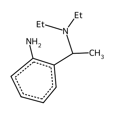 CCN(CC)C(C)c1ccccc1N